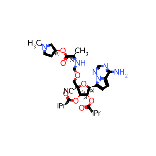 CC(C)C(=O)O[C@H]1[C@H](c2ccc3c(N)ncnn23)O[C@](C#N)(COCN[C@@H](C)C(=O)O[C@H]2CCN(C)C2)[C@H]1OC(=O)C(C)C